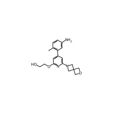 Cc1ccc(N)cc1-c1cc(OCCO)nc(N2CC3(COC3)C2)c1